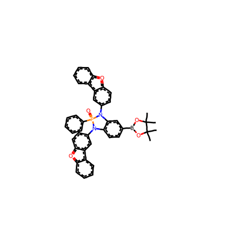 CC1(C)OB(c2ccc3c(c2)N(c2ccc4oc5ccccc5c4c2)P(=O)(c2ccccc2)N3c2ccc3oc4ccccc4c3c2)OC1(C)C